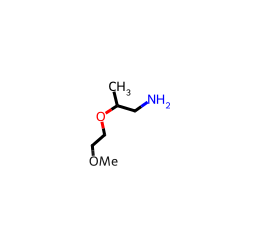 COCCOC(C)CN